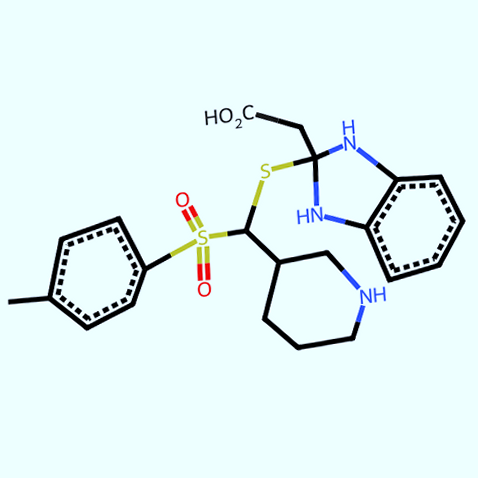 Cc1ccc(S(=O)(=O)C(SC2(CC(=O)O)Nc3ccccc3N2)C2CCCNC2)cc1